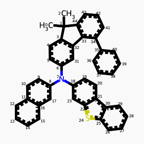 CC1(C)c2ccc(N(c3ccc4ccccc4c3)c3ccc4c(c3)sc3ccccc34)cc2-c2c(-c3ccccc3)cccc21